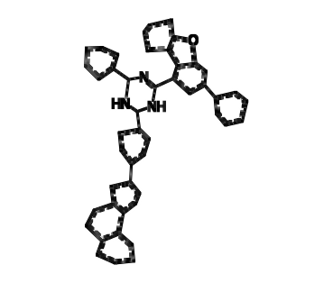 c1ccc(-c2cc(C3=NC(c4ccccc4)NC(c4ccc(-c5ccc6c(ccc7ccccc76)c5)cc4)N3)c3c(c2)oc2ccccc23)cc1